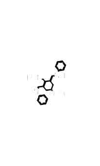 CC(C)(C)C1CC(/C=N\c2ccccc2)=C(Cl)C(=C/Nc2ccccc2)/C1.Cl